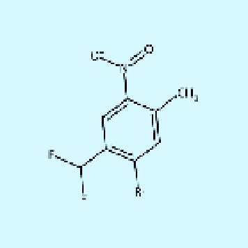 Cc1cc(Br)c(C(F)F)cc1[N+](=O)[O-]